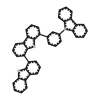 c1cc(-c2cccc3c2oc2c(-c4cccc5c4oc4ccccc45)cccc23)cc(-n2c3ccccc3c3ccccc32)c1